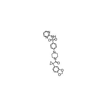 O=C(N1CCN(c2ccc(S(=O)(=O)Nc3ncccn3)cc2)CC1)C1(c2ccc3c(c2)OCO3)CC1